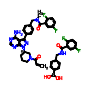 C=CC(=O)N1CCC[C@@H](n2nc(-c3ccc(CN(C)C(=O)c4cc(F)ccc4F)cc3)c3c(N)ncnc32)C1.O=C(NCc1ccc(B(O)O)cc1)c1cc(F)ccc1F